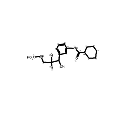 [2H]C([2H])(CNC(=O)O)C(O)c1cccc(NC(=O)C2CCCCC2)c1